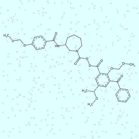 COCOc1ccc(C(=O)NC2CCCCN(C(=O)OOC(=O)c3cc(C(C)OC)cc(C(=O)c4ccccc4)c3OCOC)C2)cc1